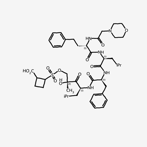 CC(C)C[C@H](NC(=O)[C@H](CCc1ccccc1)NC(=O)CN1CCOCC1)C(=O)N[C@@H](Cc1ccccc1)C(=O)N[C@@H](CC(C)C)C(=O)[C@](C)(O)COS(=O)(=O)C1CCC1C(=O)O